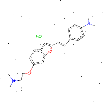 CN(C)CCOc1ccc2cc(C=Cc3ccc(N(C)C)cc3)oc2c1.Cl